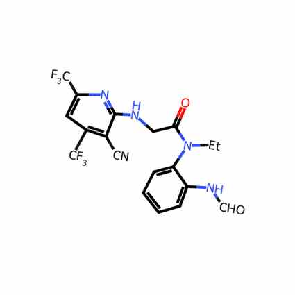 CCN(C(=O)CNc1nc(C(F)(F)F)cc(C(F)(F)F)c1C#N)c1ccccc1NC=O